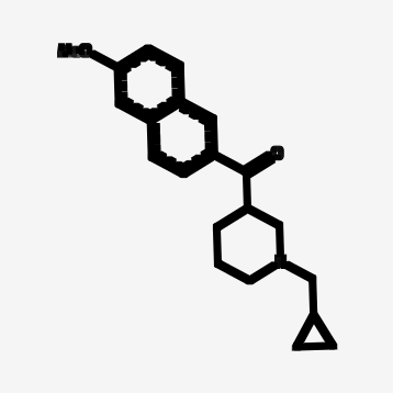 COc1ccc2cc(C(=O)C3CCCN(CC4CC4)C3)ccc2c1